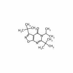 CC(C)n1c(C(C)(C)C)nc2onc(C(C)(C)C)c2c1=O